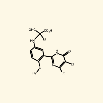 CCCOc1ccc(NC(C=O)(CC)C(=O)O)cc1-c1nc(CC)c(CC)c(=O)[nH]1